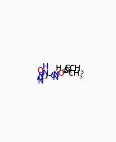 C[Si](C)(C)CCOCn1cc(-c2cc3nccn3c(=O)[nH]2)cn1